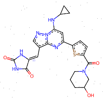 O=C1NC(=O)/C(=C/c2cnn3c(NC4CC4)cc(-c4ccc(C(=O)N5CCCC(O)C5)s4)nc23)N1